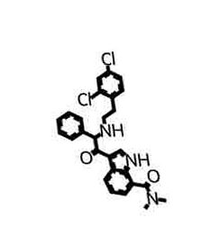 CN(C)C(=O)c1cccc2c(C(=O)C(NCCc3ccc(Cl)cc3Cl)c3ccccc3)c[nH]c12